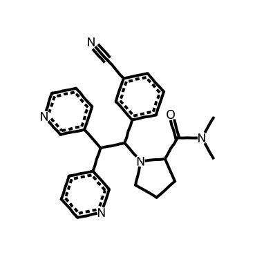 CN(C)C(=O)C1CCCN1C(c1cccc(C#N)c1)C(c1cccnc1)c1cccnc1